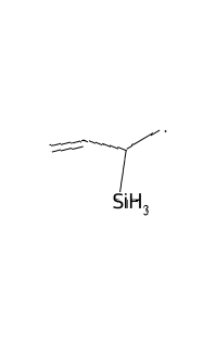 [CH2]C([SiH3])C=C